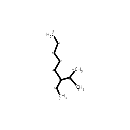 [CH2]CCCCC(CC)C(C)C